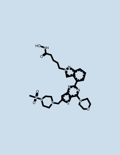 CS(=O)(=O)N1CCN(Cc2cc3nc(-c4cccc5nn(CCCCC(=O)NO)cc45)nc(N4CCOCC4)c3s2)CC1